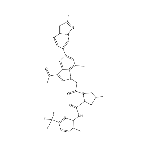 CC(=O)c1cn(CC(=O)N2CC(C)CC2C(=O)Nc2nc(C(F)(F)F)ccc2C)c2c(C)cc(-c3cnc4cc(C)nn4c3)cc12